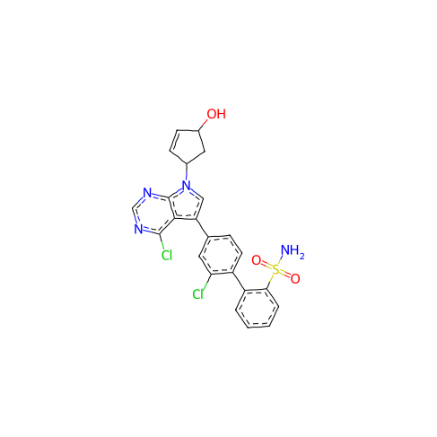 NS(=O)(=O)c1ccccc1-c1ccc(-c2cn(C3C=CC(O)C3)c3ncnc(Cl)c23)cc1Cl